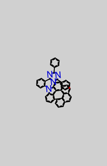 c1ccc(-c2nc(-c3ccccc3)nc(-c3ccccc3-n3c4cccc5c4c4c6c(ccc7ccc8cccc-5c8c76)ccc43)n2)cc1